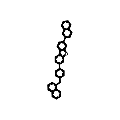 c1ccc2cc(-c3ccc4c(c3)oc3cc(-c5ccc(Cc6cccc7ccccc67)cc5)ccc34)ccc2c1